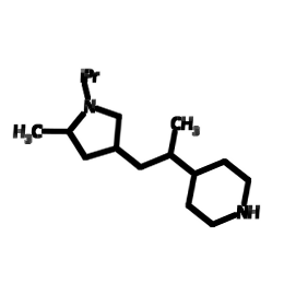 CC(CC1CC(C)N(C(C)C)C1)C1CCNCC1